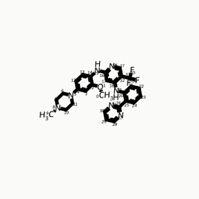 COc1cc(N2CCN(C)CC2)ccc1Nc1cc(Nc2ccccc2-c2ncccn2)c(C(F)(F)F)cn1